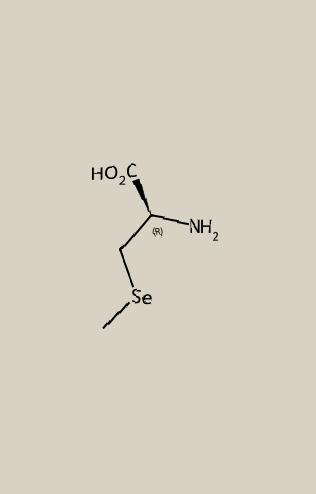 C[Se]C[C@H](N)C(=O)O